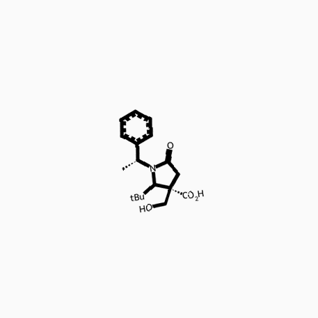 C[C@H](c1ccccc1)N1C(=O)C[C@](CO)(C(=O)O)C1C(C)(C)C